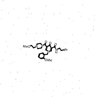 COCCN1CCN(C(=O)c2cn(Cc3ccccc3OC)cc(C(=O)NCCC(C)C)c2=O)CC1